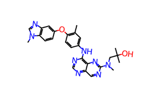 Cc1cc(Nc2ncnc3cnc(N(C)CC(C)(C)O)nc23)ccc1Oc1ccc2c(c1)ncn2C